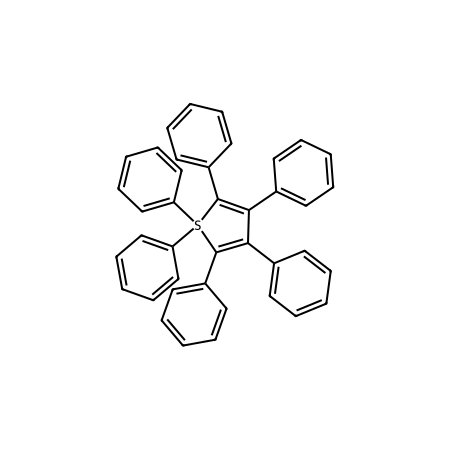 c1ccc(C2=C(c3ccccc3)S(c3ccccc3)(c3ccccc3)C(c3ccccc3)=C2c2ccccc2)cc1